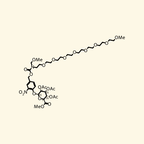 COCCOCCOCCOCCOCCOCCOCCOCCN(COC)C(=O)OCc1ccc(O[C@@H]2O[C@H](C(=O)OC)[C@@H](OC(C)=O)[C@H](OC(C)=O)[C@H]2OC(C)=O)c([N+](=O)[O-])c1